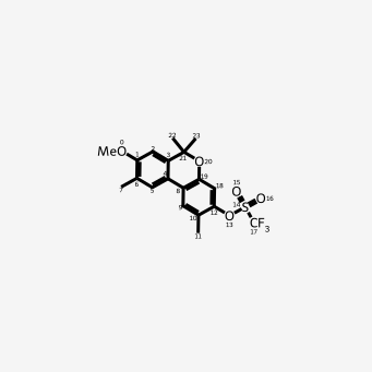 COc1cc2c(cc1C)-c1cc(C)c(OS(=O)(=O)C(F)(F)F)cc1OC2(C)C